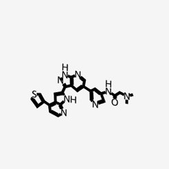 CN(C)CC(=O)Nc1cncc(-c2cnc3[nH]nc(-c4cc5c(-c6ccsc6)ccnc5[nH]4)c3c2)c1